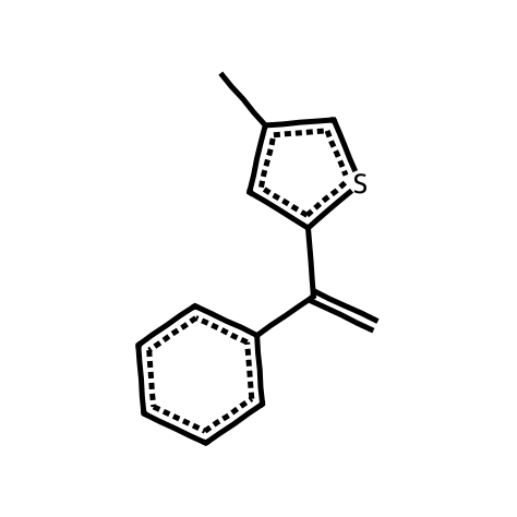 C=C(c1ccccc1)c1cc(C)cs1